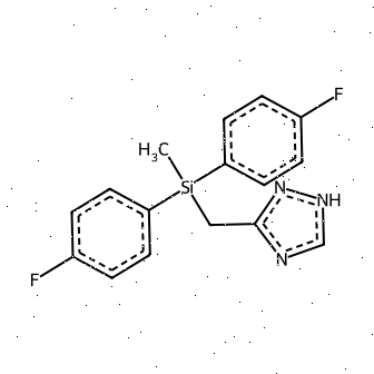 C[Si](Cc1nc[nH]n1)(c1ccc(F)cc1)c1ccc(F)cc1